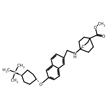 COC(=O)C12CCC(NCc3ccc4cc(O[C@H]5CC[C@H](S(C)(C)C)CC5)ccc4c3)(CC1)CC2